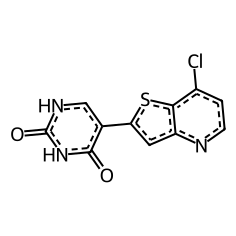 O=c1[nH]cc(-c2cc3nccc(Cl)c3s2)c(=O)[nH]1